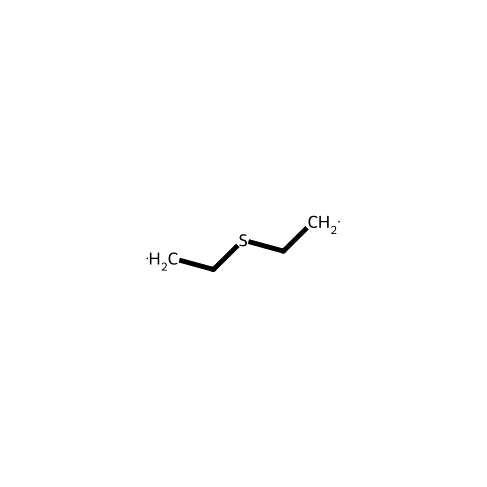 [CH2]CSC[CH2]